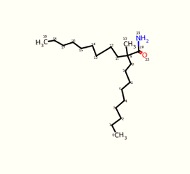 CCCCCCCCCC(C)(CCCCCCCCC)C(N)=O